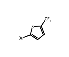 CCC(C)c1ccc(C(F)(F)F)s1